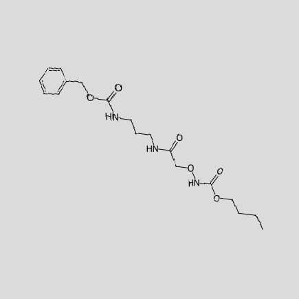 CCCCOC(=O)NOCC(=O)NCCCNC(=O)OCc1ccccc1